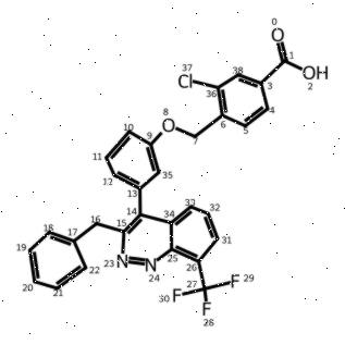 O=C(O)c1ccc(COc2cccc(-c3c(Cc4ccccc4)nnc4c(C(F)(F)F)cccc34)c2)c(Cl)c1